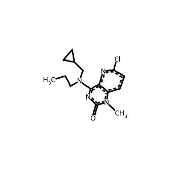 CCCN(CC1CC1)c1nc(=O)n(C)c2ccc(Cl)nc12